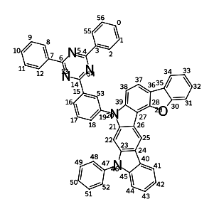 c1ccc(-c2nc(-c3ccccc3)nc(-c3cccc(-n4c5cc6c(cc5c5c7oc8ccccc8c7ccc54)c4ccccc4n6-c4ccccc4)c3)n2)cc1